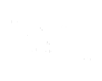 CC1CN(CC(C)C(=NO)c2ccc(C(C)(C)C)cc2)CC(C)O1